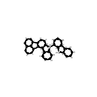 c1cc2c3c(cccc3c1)-c1c-2ccc2c1c1ccccc1n2-c1cccc2c1sc1ccccc12